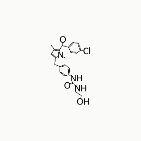 Cc1cc(Cc2ccc(NC(=O)NCCO)cc2)n(C)c1C(=O)c1ccc(Cl)cc1